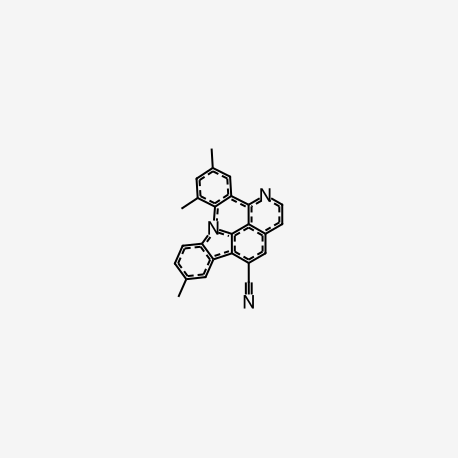 Cc1ccc2c(c1)c1c(C#N)cc3ccnc4c5cc(C)cc(C)c5n2c1c34